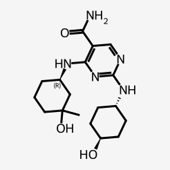 CC1(O)CCC[C@@H](Nc2nc(N[C@H]3CC[C@H](O)CC3)ncc2C(N)=O)C1